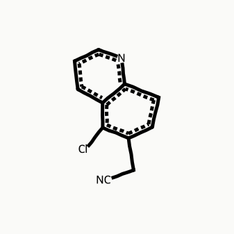 N#CCc1ccc2ncccc2c1Cl